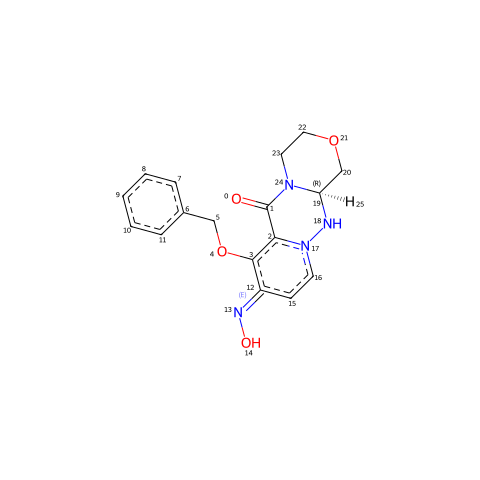 O=C1c2c(OCc3ccccc3)/c(=N/O)ccn2N[C@@H]2COCCN12